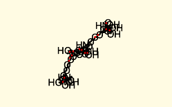 CCC(CC)(CC(COP(=O)(O)O)NC(=O)COCCOCCOCCO[C@@H]1O[C@H](CO)[C@H](O)[C@H](O)[C@H]1NC(C)=O)OP(=O)(O)OCC1CC(O)(CC)N1C(=O)COCCOCCOCCO[C@@H]1O[C@H](CO)[C@H](O)[C@H](O)[C@H]1NC(C)=O